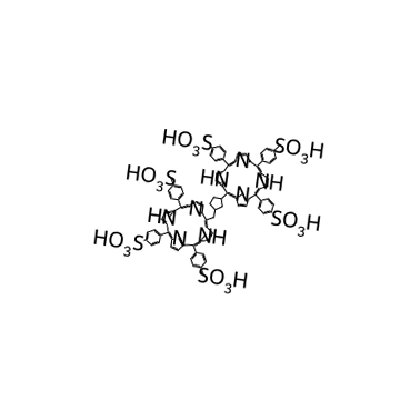 O=S(=O)(O)c1ccc(-c2c3nc(c(-c4ccc(S(=O)(=O)O)cc4)c4ccc([nH]4)c(-c4ccc(S(=O)(=O)O)cc4)c4nc(c(CC5CCC(c6c7nc(c(-c8ccc(S(=O)(=O)O)cc8)c8ccc([nH]8)c(-c8ccc(S(=O)(=O)O)cc8)c8nc(c(-c9ccc(S(=O)(=O)O)cc9)c9ccc6[nH]9)C=C8)C=C7)C5)c5ccc2[nH]5)C=C4)C=C3)cc1